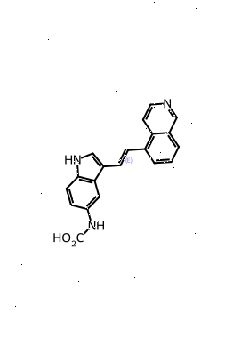 O=C(O)Nc1ccc2[nH]cc(/C=C/c3cccc4cnccc34)c2c1